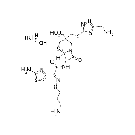 Cl.Cl.Cl.NCCCON=C(C(=O)NC1C(=O)N2CC(CSc3nnc(CN)s3)(C(=O)O)CS[C@H]12)c1csc(N)n1